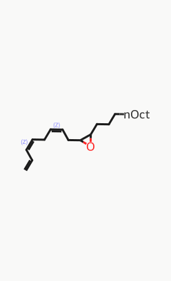 C=C/C=C\C/C=C\CC1OC1CCCCCCCCCCC